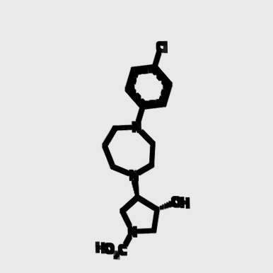 O=C(O)N1C[C@@H](O)[C@H](N2CCCN(c3ccc(Cl)cc3)CC2)C1